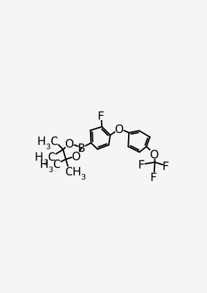 CC1(C)OB(c2ccc(Oc3ccc(OC(F)(F)F)cc3)c(F)c2)OC1(C)C